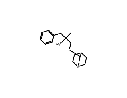 CC(CSC1CN2CCC1CC2)(Cc1ccccc1)C(=O)O